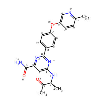 CC(=O)[C@H](C)Nc1cc(C(N)=O)nc(-c2ccc(Oc3ccc(C)nc3)cc2)n1